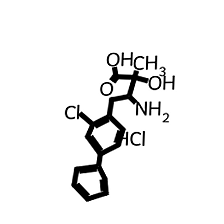 CC(O)(C(=O)O)C(N)Cc1ccc(-c2ccccc2)cc1Cl.Cl